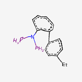 CCc1ccc(-c2ccccc2N(P)P)cc1